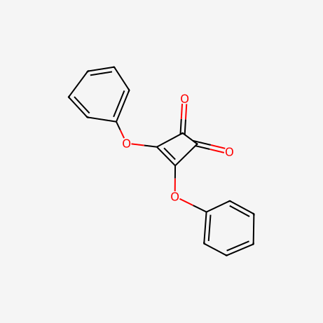 O=c1c(Oc2ccccc2)c(Oc2ccccc2)c1=O